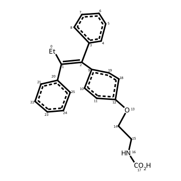 CC/C(=C(\c1ccccc1)c1ccc(OCCNC(=O)O)cc1)c1ccccc1